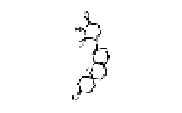 O=C1CCC2(CC1)CCc1ccc(N3CCC(=O)NC3=O)cc1O2